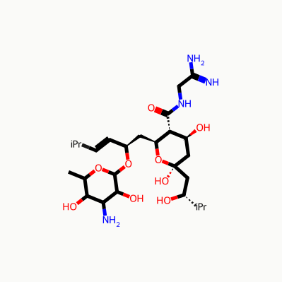 CC(C)/C=C/[C@@H](C[C@@H]1O[C@](O)(C[C@@H](O)C(C)C)C[C@H](O)[C@H]1C(=O)NCC(=N)N)OC1OC(C)C(O)C(N)C1O